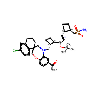 COC(=O)c1ccc2c(c1)N(C[C@@H]1CC[C@H]1[C@H](/C=C/[C@@H]1CC[C@H]1CS(N)(=O)=O)O[Si](C)(C)C(C)(C)C)CC1(CCCc3cc(Cl)ccc31)CO2